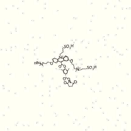 CCCC[N+](C)(C)CCCOc1ccc2c(c1)c(C(=O)Oc1c(C)cc(C(=O)ON3C(=O)CCC3=O)cc1C)c1cc(OCCC[N+](C)(C)CCCS(=O)(=O)O)ccc1[n+]2CCCS(=O)(=O)O